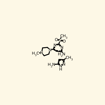 CN1CCN(c2cc(N)nc(S(C)(=O)=O)n2)CC1.Cc1cc(N)[nH]n1